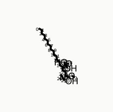 CCCCCCCCCCCCCCCC(CCC(C(O)OC)[N+](C)(C)C)P(=O)(O)O